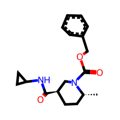 C[C@@H]1CC[C@@H](C(=O)NC2CC2)CN1C(=O)OCc1ccccc1